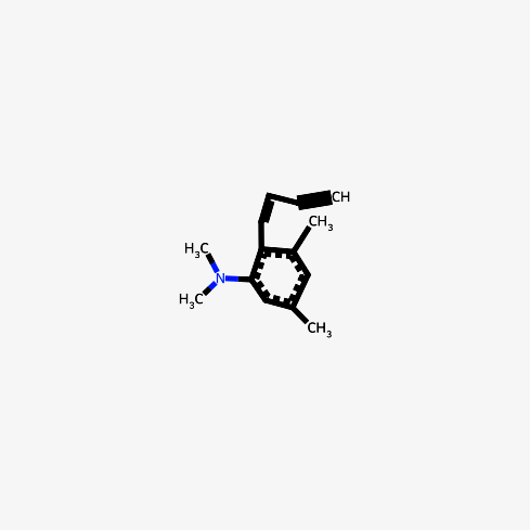 C#C/C=C\c1c(C)cc(C)cc1N(C)C